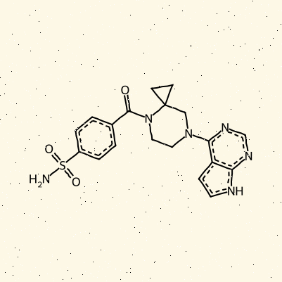 NS(=O)(=O)c1ccc(C(=O)N2CCN(c3ncnc4[nH]ccc34)CC23CC3)cc1